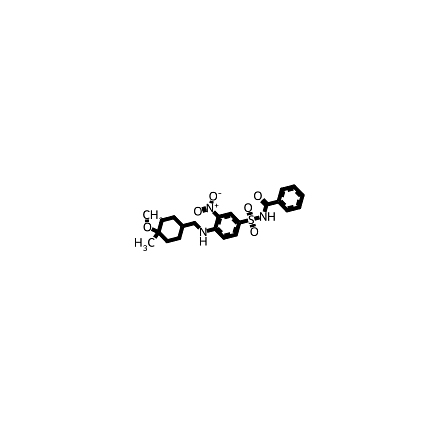 COC1(C)CCC(CNc2ccc(S(=O)(=O)NC(=O)c3ccccc3)cc2[N+](=O)[O-])CC1